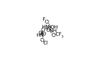 O=C(N[C@@H](Cc1ccc(F)cc1)[C@H](O)CNCc1cccc(C(F)(F)F)c1)c1cccc(S(=O)(=O)NCc2cccc(Cl)c2)c1